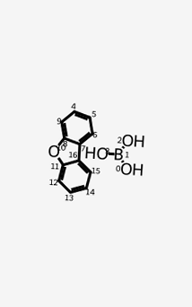 OB(O)O.c1ccc2c(c1)oc1ccccc12